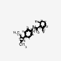 Cc1nc(-c2ccc(NC(=O)c3c(F)cccc3F)cc2)c(C)s1